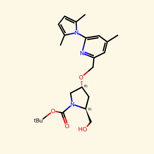 Cc1cc(CO[C@@H]2C[C@@H](CO)N(C(=O)OC(C)(C)C)C2)nc(-n2c(C)ccc2C)c1